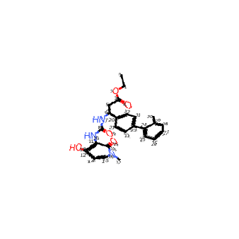 CCOC(=O)CC(NC(=O)Nc1c(O)ccn(C)c1=O)c1ccc(-c2ccccc2C)cc1